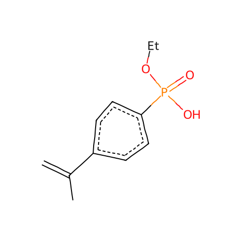 C=C(C)c1ccc(P(=O)(O)OCC)cc1